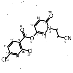 N#CCCn1nc(OC(=O)c2ccc(Cl)cc2Cl)ccc1=O